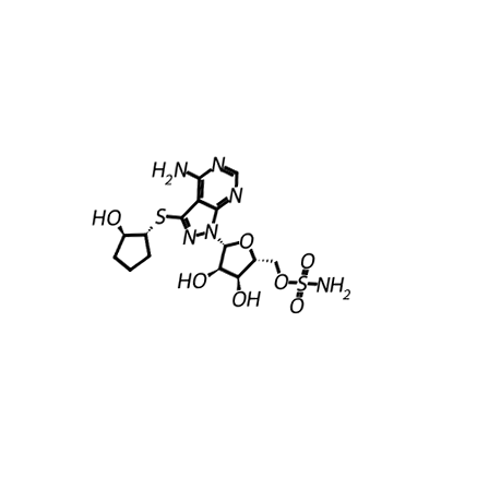 Nc1ncnc2c1c(S[C@@H]1CCC[C@H]1O)nn2[C@@H]1O[C@H](COS(N)(=O)=O)[C@@H](O)[C@H]1O